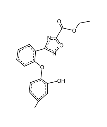 CCOC(=O)c1nc(-c2ccccc2Oc2ccc(C)cc2O)no1